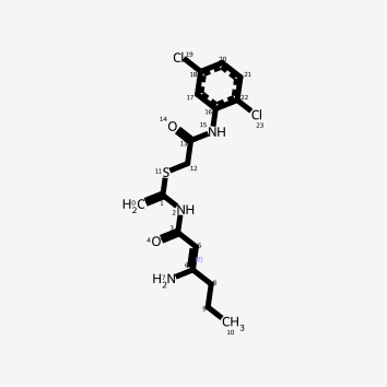 C=C(NC(=O)/C=C(\N)CCC)SCC(=O)Nc1cc(Cl)ccc1Cl